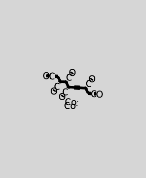 O=C=CC(=C=O)C#CC(=C=O)C(=C=O)C(=C=O)C=C=O.[Co].[Co]